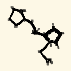 CCn1ncnc1NCC1CCCO1